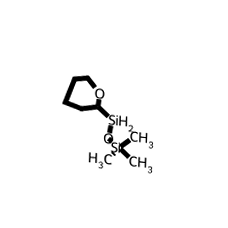 C[Si](C)(C)O[SiH2]C1CCCCO1